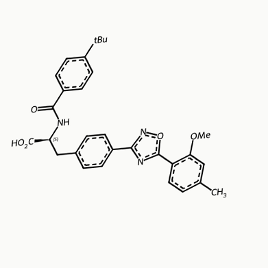 COc1cc(C)ccc1-c1nc(-c2ccc(C[C@H](NC(=O)c3ccc(C(C)(C)C)cc3)C(=O)O)cc2)no1